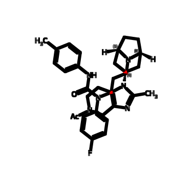 CC(=O)N1CCc2c(nc(C)n2[C@H]2C[C@H]3CC[C@@H](C2)N3CCCN(C(=O)Nc2ccc(C)cc2)c2ccc(F)cc2)C1